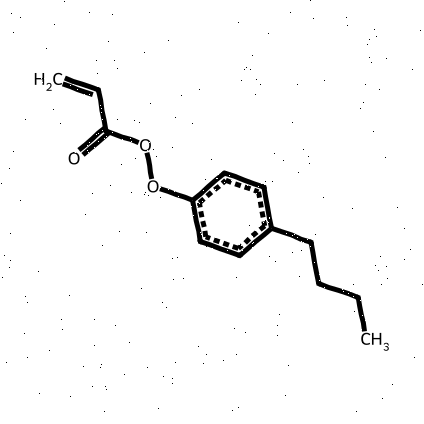 C=CC(=O)OOc1ccc(CCCC)cc1